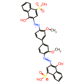 COc1cc(-c2ccc(/N=N/c3cc(S(=O)(=O)O)c4ccccc4c3O)c(OC)c2)ccc1/N=N/c1cc(S(=O)(=O)O)c2ccccc2c1O